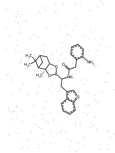 CC1(C)C2CC3OB(C(Cc4coc5ccccc45)NC(=O)Cc4ccccc4N)O[C@@]3(C)C1C2